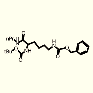 CCCNC(=O)C(CCCCNC(=O)OCc1ccccc1)NC(=O)OC(C)(C)C